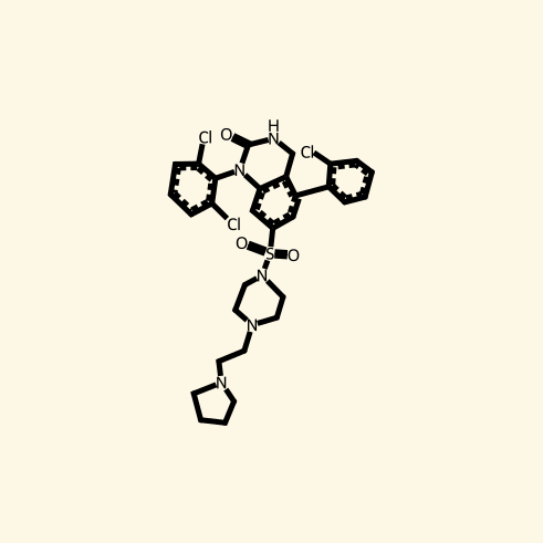 O=C1NCc2c(-c3ccccc3Cl)cc(S(=O)(=O)N3CCN(CCN4CCCC4)CC3)cc2N1c1c(Cl)cccc1Cl